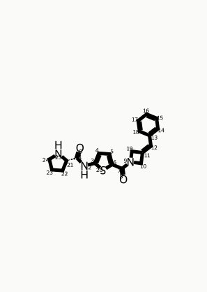 O=C(Nc1ccc(C(=O)N2CC(=Cc3ccccc3)C2)s1)[C@@H]1CCCN1